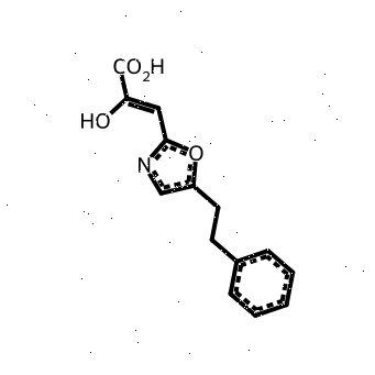 O=C(O)/C(O)=C/c1ncc(CCc2ccccc2)o1